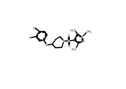 Cc1nn(C)c(C)c1S(=O)(=O)N1CCC(Oc2ccc(Cl)c(F)c2)CC1